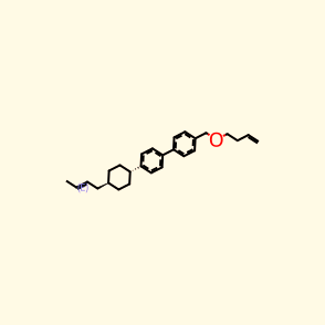 C=CCCOCc1ccc(-c2ccc([C@H]3CC[C@H](C/C=C/C)CC3)cc2)cc1